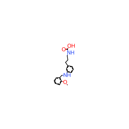 COc1ccccc1CNc1cccc(CCCNC(=O)O)c1